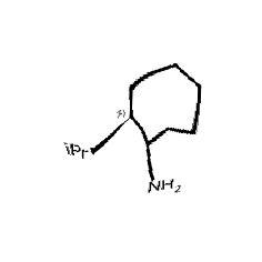 CC(C)[C@H]1CCCCC1N